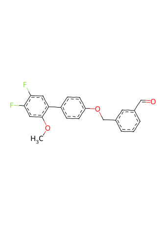 COc1cc(F)c(F)cc1-c1ccc(OCc2cccc(C=O)c2)cc1